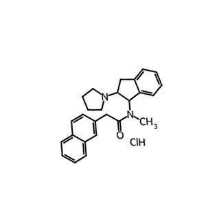 CN(C(=O)Cc1ccc2ccccc2c1)C1c2ccccc2CC1N1CCCC1.Cl